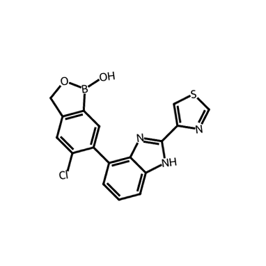 OB1OCc2cc(Cl)c(-c3cccc4[nH]c(-c5cscn5)nc34)cc21